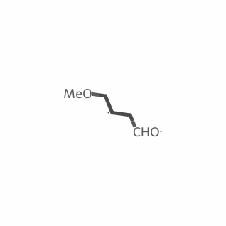 COC[CH]C[C]=O